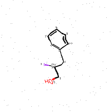 OC[C@@H](I)Cc1ccccc1